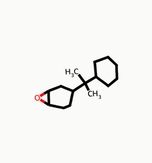 CC(C)(C1CCCCC1)C1CCC2OC2C1